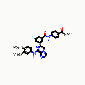 CNC(=O)c1ccc(NC(=O)c2cc(F)cc(-c3cn4ccnc4c(Nc4ccc(OC)c(OC)c4)n3)c2)cc1